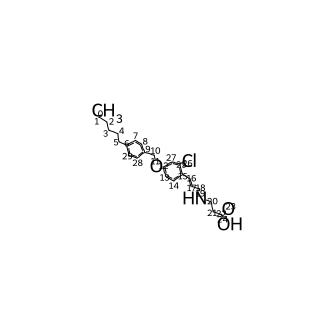 CCCCCCc1ccc(COc2ccc(C=CCNCCC(=O)O)c(Cl)c2)cc1